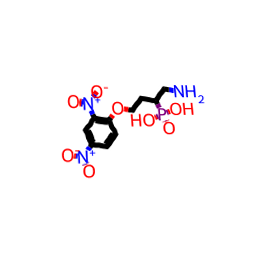 NCC(CCOc1ccc([N+](=O)[O-])cc1[N+](=O)[O-])P(=O)(O)O